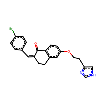 O=C1C(=Cc2ccc(Br)cc2)CCc2cc(OCCc3c[nH]cn3)ccc21